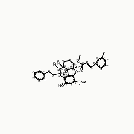 COc1cc(O)c2c3c1O[C@H]1[C@@H](N(C)C(=O)C=Cc4cccc(C)c4)CC[C@H]4[C@@H](C2)N(CCc2ccccc2)CC[C@@]341